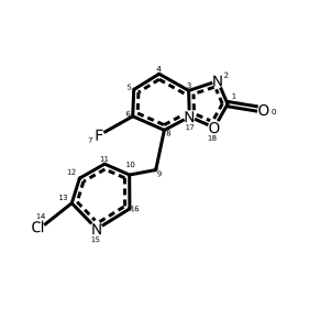 O=c1nc2ccc(F)c(Cc3ccc(Cl)nc3)n2o1